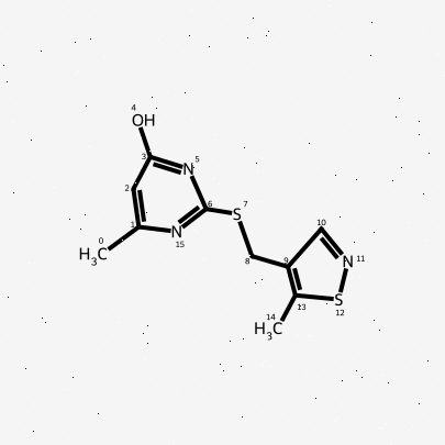 Cc1cc(O)nc(SCc2cnsc2C)n1